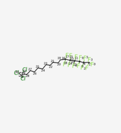 FC(F)(F)C(F)(F)C(F)(F)C(F)(F)C(F)(F)C(F)(F)CCCCCCCCCC[Si](Cl)(Cl)Cl